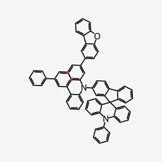 c1ccc(-c2cccc(-c3ccccc3N(c3cccc(-c4ccc5oc6ccccc6c5c4)c3)c3ccc4c(c3)C3(c5ccccc5-4)c4ccccc4N(c4ccccc4)c4ccccc43)c2)cc1